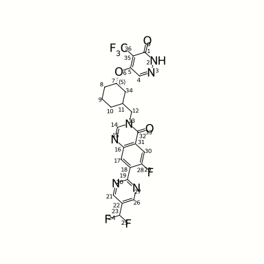 O=c1[nH]ncc(O[C@H]2CCCC(Cn3cnc4cc(-c5ncc(C(F)F)cn5)c(F)cc4c3=O)C2)c1C(F)(F)F